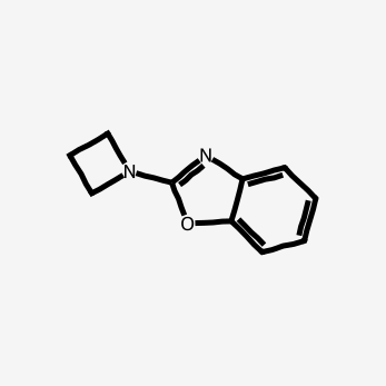 c1ccc2oc(N3CCC3)nc2c1